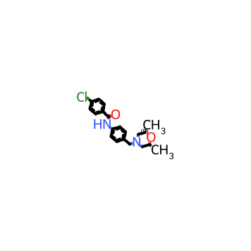 CC1CN(Cc2ccc(NC(=O)c3ccc(Cl)cc3)cc2)C[C@H](C)O1